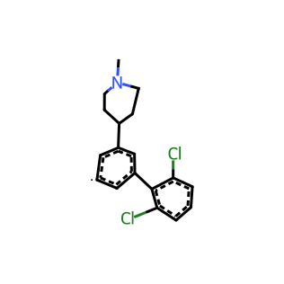 CN1CCC(c2c[c]cc(-c3c(Cl)cccc3Cl)c2)CC1